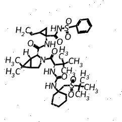 C=CC1C[C@]1(NC(=O)[C@@H]1[C@@H]2C(CN1C(=O)[C@@H](NC(=O)NC1(CS(=O)(=O)C(C)(C)C)CCCCC1)C(C)(C)C)C2(C)C)C(=O)NS(=O)(=O)c1ccccc1